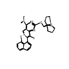 CN(C)c1nc(OCC23CCCN2CCC3)nc2c(F)c(-c3cccc4cccc(Cl)c34)ncc12